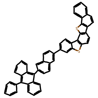 c1ccc(-c2c3ccccc3c(-c3ccc4cc(-c5ccc6c(c5)sc5ccc7c8ccc9ccccc9c8sc7c56)ccc4c3)c3ccccc23)cc1